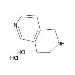 Cl.Cl.c1cc2c(cn1)CCNC2